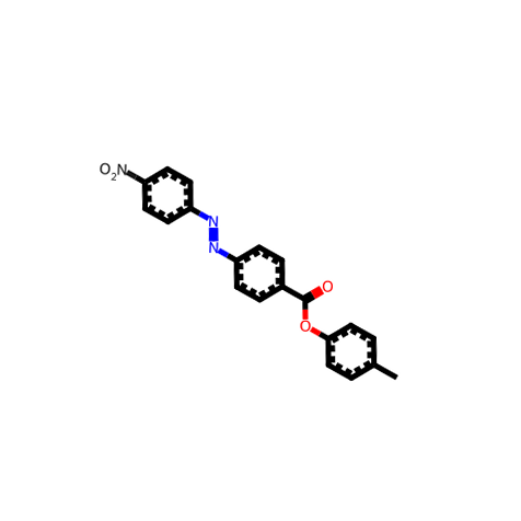 Cc1ccc(OC(=O)c2ccc(N=Nc3ccc([N+](=O)[O-])cc3)cc2)cc1